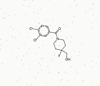 O=C(c1ccc(Cl)c(Cl)c1)N1CCC(F)(CO)CC1